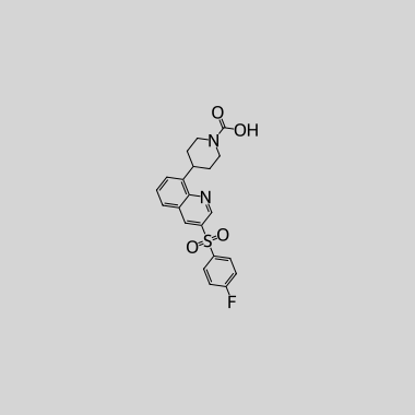 O=C(O)N1CCC(c2cccc3cc(S(=O)(=O)c4ccc(F)cc4)cnc23)CC1